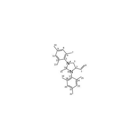 C=CC1CN(c2c(C)cc(C)cc2C)C(C)N1c1c(C)cc(C)cc1C